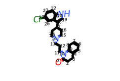 O=C1CCc2ccccc2N1CCCN1CCC(c2c[nH]c3ccc(Cl)cc23)CC1